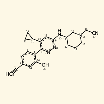 C#Cc1ccc(-c2nnc(NC3CCCN(CC#N)C3)cc2C2CC2)c(O)c1